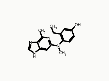 CCc1cc(O)ccc1N(C)c1cc2[nH]cnc2c(C)n1